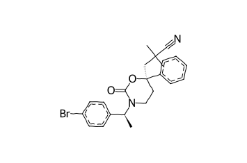 C[C@@H](c1ccc(Br)cc1)N1CC[C@](CC(C)(C)C#N)(c2ccccc2)OC1=O